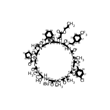 C=CCOC(=O)CC[C@@H]1NC(=O)[C@H](CCc2ccc(C(F)(F)F)cc2)NC(=O)CN(C)C(=O)[C@H](Cc2ccc(Cl)cc2)N(C)C(=O)CN(C)C(=O)CN(C)C(=O)[C@H]([C@@H](C)CC)NC(=O)[C@H](C)N(C)C(=O)C[C@@H](C(=O)N2CCCC2)NC(=O)[C@H](CC(C)C)N(C)C(=O)[C@H](Cc2ccccc2)N(C)C1=O